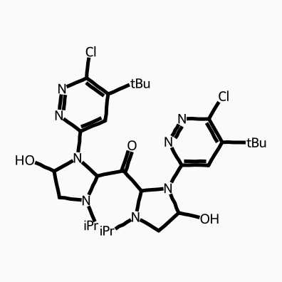 CC(C)N1CC(O)N(c2cc(C(C)(C)C)c(Cl)nn2)C1C(=O)C1N(C(C)C)CC(O)N1c1cc(C(C)(C)C)c(Cl)nn1